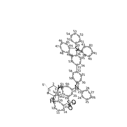 C[C@@H]1C[C@H]2CCC[C@@H](C1)C21c2ccccc2S(=O)(=O)c2cc(N(c3ccccc3)c3ccc(-c4ccc([Si](c5ccccc5)(c5ccccc5)c5ccccc5)cc4)cc3)ccc21